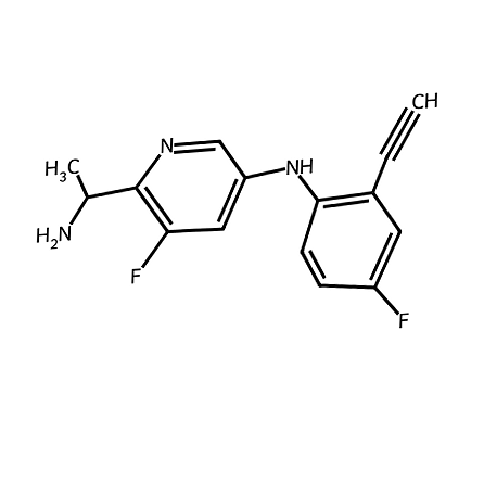 C#Cc1cc(F)ccc1Nc1cnc(C(C)N)c(F)c1